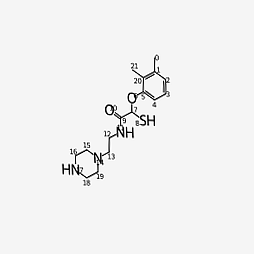 Cc1cccc(OC(S)C(=O)NCCN2CCNCC2)c1C